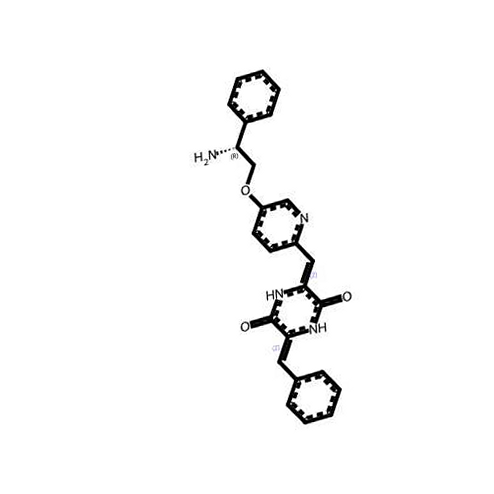 N[C@@H](COc1ccc(/C=c2\[nH]c(=O)/c(=C/c3ccccc3)[nH]c2=O)nc1)c1ccccc1